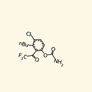 CCCCc1c(Cl)ccc(OC(N)=O)c1C(=O)C(F)(F)F